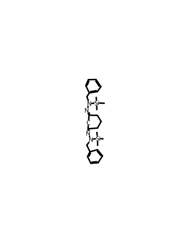 C[Si](C)(C)N(Cc1ccccc1)N=C1CCCC(=NN(Cc2ccccc2)[Si](C)(C)C)C1